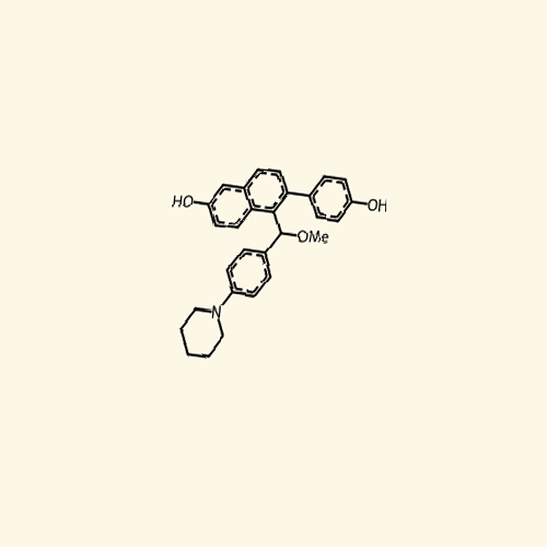 COC(c1ccc(N2CCCCC2)cc1)c1c(-c2ccc(O)cc2)ccc2cc(O)ccc12